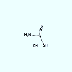 NC(=S)S.[KH]